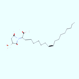 CCCCCCCC/C=C\CCCCCCC(C(=O)O)N1C(=O)CC(S(=O)(=O)O)C1=O